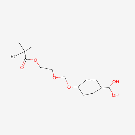 CCC(C)(C)C(=O)OCCOCOC1CCC(C(O)O)CC1